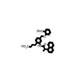 COc1ccccc1OCc1ccc(CCCC(=O)O)c(NC(=O)C(C)c2cccc3ccccc23)c1